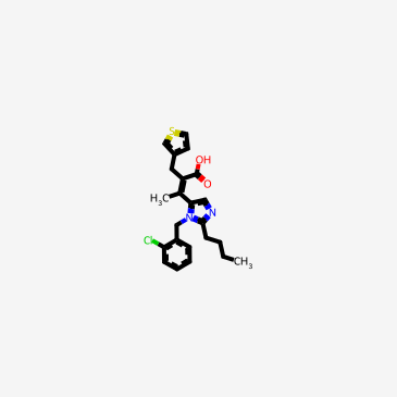 CCCCc1ncc(C(C)=C(Cc2ccsc2)C(=O)O)n1Cc1ccccc1Cl